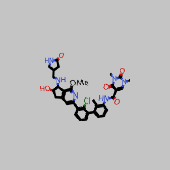 COc1nc(-c2cccc(-c3cccc(NC(=O)c4cn(C)c(=O)n(C)c4=O)c3C)c2Cl)cc2c1C(NCC1CNC(=O)C1)C(O)C2